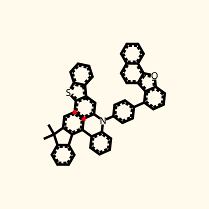 CC1(C)c2ccccc2-c2c(-c3ccccc3N(c3ccc(-c4cccc5oc6c7ccccc7ccc6c45)cc3)c3ccc4sc5ccccc5c4c3)cccc21